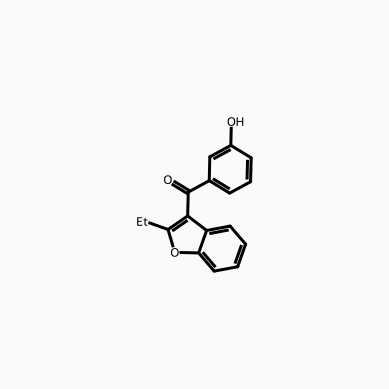 CCc1oc2ccccc2c1C(=O)c1cccc(O)c1